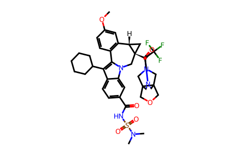 COc1ccc2c(c1)[C@@H]1C[C@]1(C(=O)N1CC34COCC3(CN(CC(F)(F)F)C4)C1)Cn1c-2c(C2CCCCC2)c2ccc(C(=O)NS(=O)(=O)N(C)C)cc21